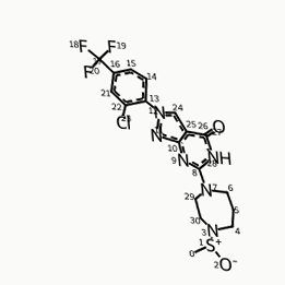 C[S+]([O-])N1CCCN(c2nc3nn(-c4ccc(C(F)(F)F)cc4Cl)cc3c(=O)[nH]2)CC1